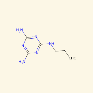 Nc1nc(N)nc(NCCC=O)n1